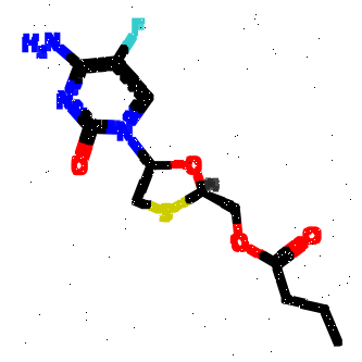 CCCC(=O)OC[C@@H]1OC(n2cc(F)c(N)nc2=O)CS1